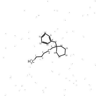 CCCCCCC1([CH]c2ccccc2)CCCCC1